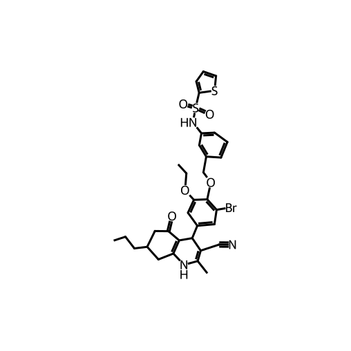 CCCC1CC(=O)C2=C(C1)NC(C)=C(C#N)C2c1cc(Br)c(OCc2cccc(NS(=O)(=O)c3cccs3)c2)c(OCC)c1